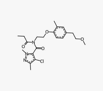 CCC(=O)N(CCOc1ccc(CCOC)cc1C)C(=O)c1c(Cl)c(C)nn1C